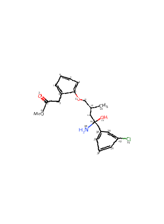 COC(=O)Cc1ccccc1OCC(C)CC(N)(O)c1cccc(Cl)c1